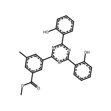 COC(=O)c1cc(C)cc(-c2nc(-c3ccccc3O)nc(-c3ccccc3O)n2)c1